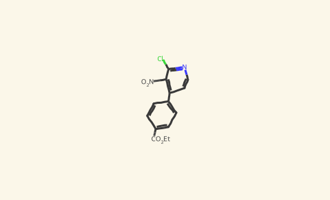 CCOC(=O)c1ccc(-c2ccnc(Cl)c2[N+](=O)[O-])cc1